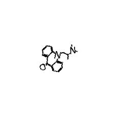 CC(Cn1c2ccccc2c(=O)c2ccccc21)N(C)C